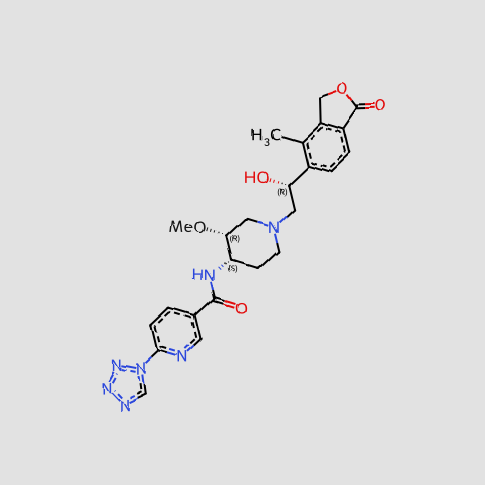 CO[C@@H]1CN(C[C@H](O)c2ccc3c(c2C)COC3=O)CC[C@@H]1NC(=O)c1ccc(-n2cnnn2)nc1